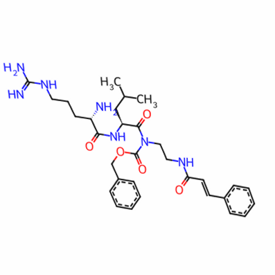 CC(C)C[C@H](NC(=O)[C@@H](N)CCCNC(=N)N)C(=O)N(CCNC(=O)/C=C/c1ccccc1)C(=O)OCc1ccccc1